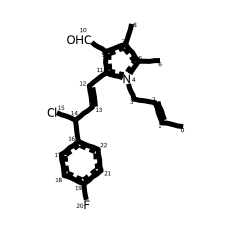 CC=CCn1c(C)c(C)c(C=O)c1C=CC(Cl)c1ccc(F)cc1